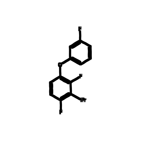 CC(C)c1c(F)ccc(Oc2cccc(F)c2)c1F